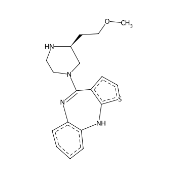 COCC[C@H]1CN(C2=Nc3ccccc3Nc3sccc32)CCN1